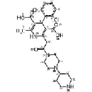 CC1=C(C(=O)O)C(c2c(Cl)cccc2Cl)C(C(=O)O)=C(CC(=O)N2CCN(C3CCNCC3)CC2)N1